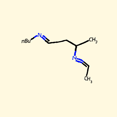 CC=NC(C)CC=NCCCC